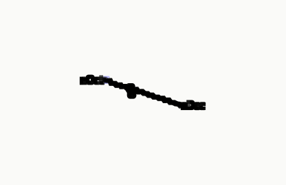 CCCCCCCC/C=C/CCCCCCCCOC(=O)CCCCCCCCCCCCCCCCCCCCCCCCCCCC